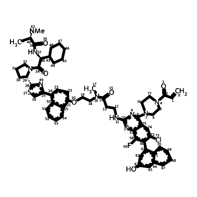 C=CC(=O)N1CCN(c2nc(NCCC(=O)N(C)CCOc3ccc(-c4csc([C@@H]5CCCN5C(=O)[C@@H](NC(=O)[C@H](C)NC)C5CCCCC5)n4)c4ccccc34)nc3c(F)c(-c4cc(O)cc5ccccc45)c(Cl)cc23)CC1